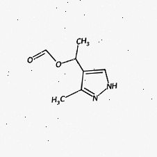 Cc1n[nH]cc1C(C)OC=O